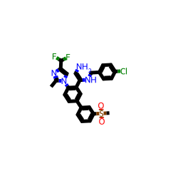 Cc1nc(C(F)F)cn1-c1ccc(-c2cccc(S(C)(=O)=O)c2)cc1/C(=C/N)NCc1ccc(Cl)cc1